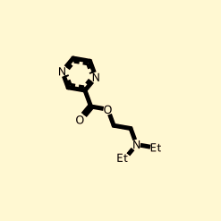 CCN(CC)CCOC(=O)c1cnccn1